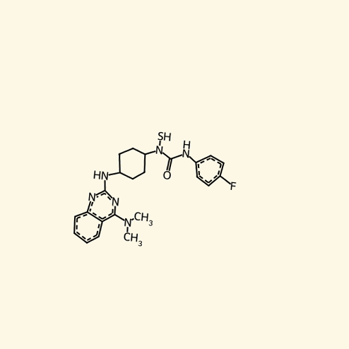 CN(C)c1nc(NC2CCC(N(S)C(=O)Nc3ccc(F)cc3)CC2)nc2ccccc12